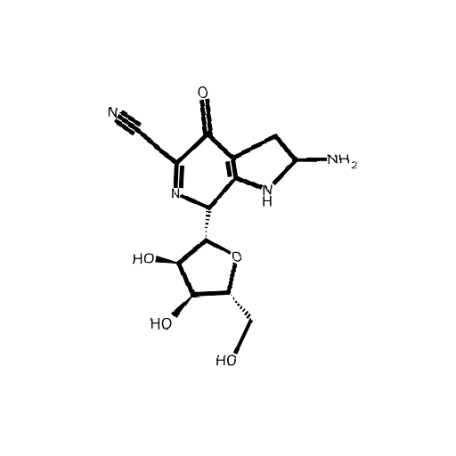 N#CC1=NC([C@@H]2O[C@H](CO)[C@@H](O)[C@H]2O)C2=C(CC(N)N2)C1=O